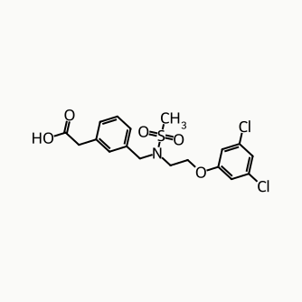 CS(=O)(=O)N(CCOc1cc(Cl)cc(Cl)c1)Cc1cccc(CC(=O)O)c1